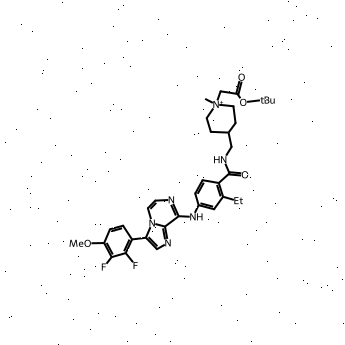 CCc1cc(Nc2nccn3c(-c4ccc(OC)c(F)c4F)cnc23)ccc1C(=O)NCC1CC[N+](C)(CC(=O)OC(C)(C)C)CC1